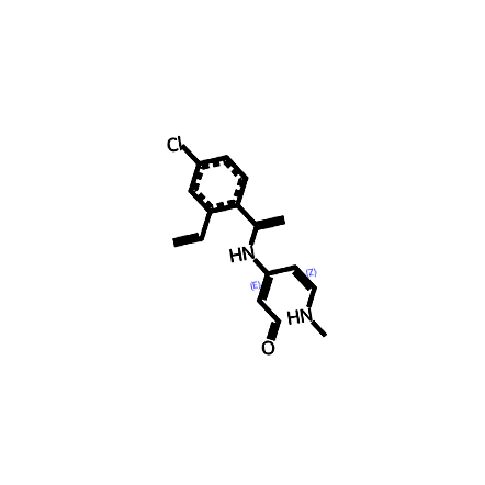 C=Cc1cc(Cl)ccc1C(=C)NC(/C=C\NC)=C/C=O